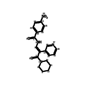 O=C(NC=C(C(=O)N1CCCCC1)c1cccnc1)c1ccc([N+](=O)[O-])cc1